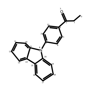 CCC(=O)c1ccc(-n2c3ccccc3c3ccccc32)cc1